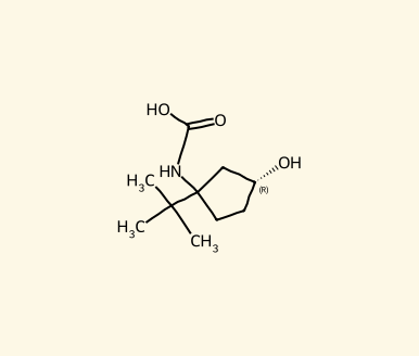 CC(C)(C)C1(NC(=O)O)CC[C@@H](O)C1